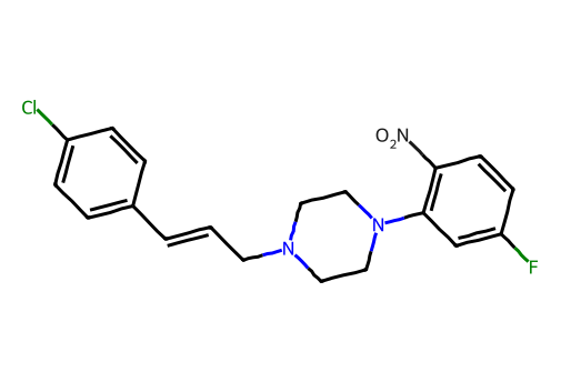 O=[N+]([O-])c1ccc(F)cc1N1CCN(C/C=C/c2ccc(Cl)cc2)CC1